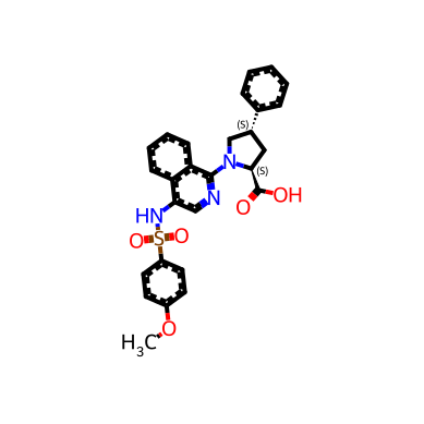 COc1ccc(S(=O)(=O)Nc2cnc(N3C[C@H](c4ccccc4)C[C@H]3C(=O)O)c3ccccc23)cc1